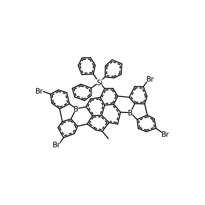 Cc1cc2c3c(cc4c([Si](c5ccccc5)(c5ccccc5)c5ccccc5)cc5c6c(cc1c3c46)B1c3ccc(Br)cc3-c3cc(Br)cc-5c31)B1c3ccc(Br)cc3-c3cc(Br)cc-2c31